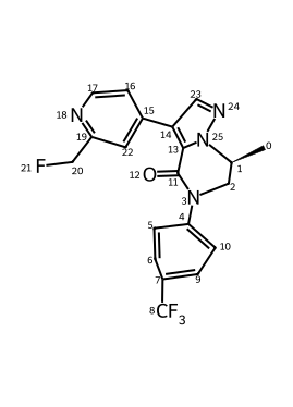 C[C@H]1CN(c2ccc(C(F)(F)F)cc2)C(=O)c2c(-c3ccnc(CF)c3)cnn21